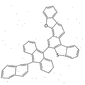 C1=c2c(-c3ccc4ccccc4c3)c3ccccc3c(-c3cc4c(ccc5c6ccccc6oc54)c4c3sc3ccccc34)c2=CCC1